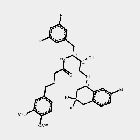 CCc1ccc2c(c1)[C@@H](NC[C@@H](O)[C@H](Cc1cc(F)cc(F)c1)NC(=O)CCCc1ccc(OC)c(OC)c1)CS(O)(O)C2